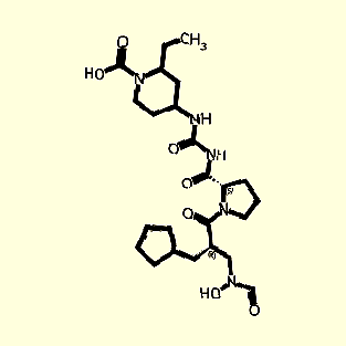 CCC1CC(NC(=O)NC(=O)[C@@H]2CCCN2C(=O)[C@H](CC2CCCC2)CN(O)C=O)CCN1C(=O)O